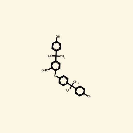 CC(C)(c1ccc(O)cc1)c1ccc(Oc2ccc(C(C)(C)c3ccc(O)cc3)cc2C=O)cc1